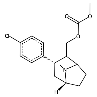 COC(=O)OCC1C2CC[C@H](C[C@@H]1c1ccc(Cl)cc1)N2C